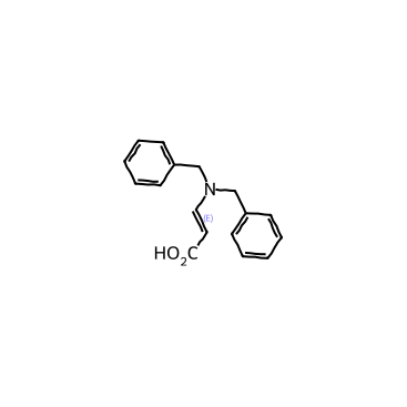 O=C(O)/C=C/N(Cc1ccccc1)Cc1ccccc1